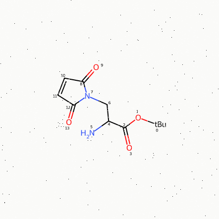 CC(C)(C)OC(=O)C(N)CN1C(=O)C=CC1=O